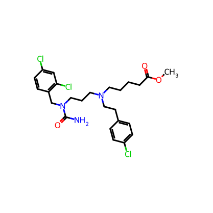 COC(=O)CCCCN(CCCN(Cc1ccc(Cl)cc1Cl)C(N)=O)CCc1ccc(Cl)cc1